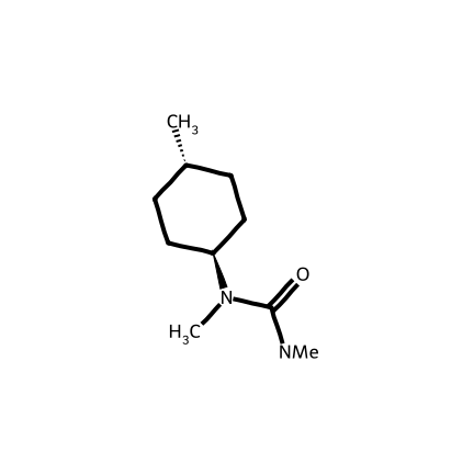 CNC(=O)N(C)[C@H]1CC[C@H](C)CC1